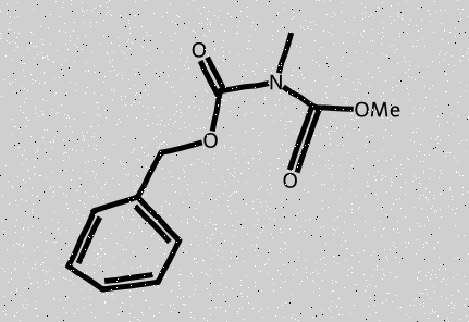 COC(=O)N(C)C(=O)OCc1ccccc1